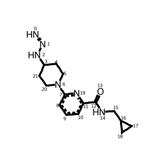 N=NNC1CCN(c2cccc(C(=O)NCC3CC3)n2)CC1